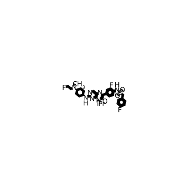 CC(C)n1c(=O)c(-c2ccc(NS(=O)(=O)Cc3ccc(F)cc3)c(F)c2)nc2cnc(N[C@H]3CC[C@H](N(C)CCF)CC3)nc21